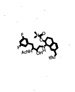 CC(=O)NC(Cc1cc(F)cc(F)c1)C(O)CNC1c2cc(CC(C)(C)C)ccc2CCC1OC(=O)N(C)C